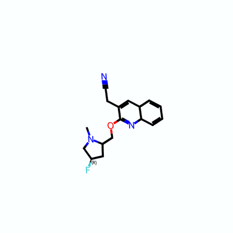 CN1C[C@H](F)CC1COC1=NC2C=CC=CC2C=C1CC#N